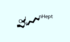 C#CCN(CCCCCCCCCCCC)C(=O)I